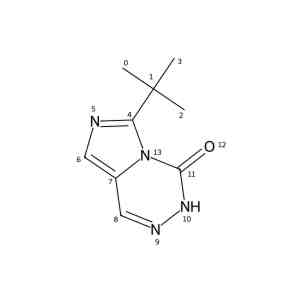 CC(C)(C)c1ncc2cn[nH]c(=O)n12